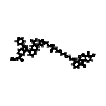 CNC(=O)N1CCc2c(c(N3CCCc4cc(-c5cnn(CCNC(=O)CCOCCOCCNc6cccc7c6C(=O)N(C6CCC(=O)NC6=O)C7=O)c5)c(C(F)F)cc43)nn2C2CCOCC2)C1